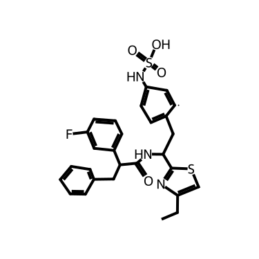 CCc1csc(C(Cc2[c]cc(NS(=O)(=O)O)cc2)NC(=O)C(Cc2ccccc2)c2cccc(F)c2)n1